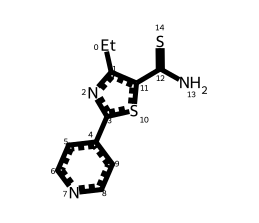 CCc1nc(-c2ccncc2)sc1C(N)=S